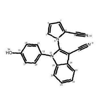 N#Cc1c(-n2cccc2C#N)n(-c2ccc(O)cc2)c2ccccc12